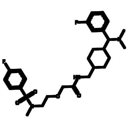 CN(C)C(c1cccc(F)c1)C1CCC(CNC(=O)COCCN(C)S(=O)(=O)c2ccc(F)cc2)CC1